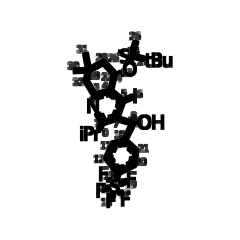 CC(C)c1nc2c(c(I)c1[C@H](O)c1ccc(S(F)(F)(F)(F)F)cc1)[C@@H](O[Si](C)(C)C(C)(C)C)CC(C)(C)C2